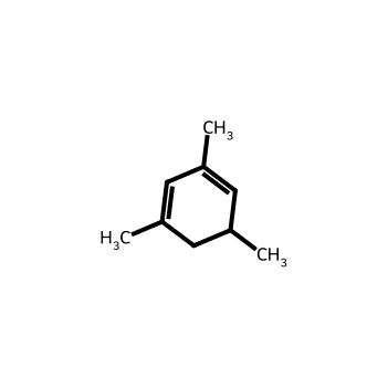 CC1=CC(C)CC(C)=C1